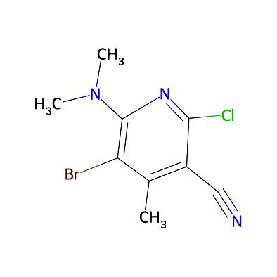 Cc1c(Br)c(N(C)C)nc(Cl)c1C#N